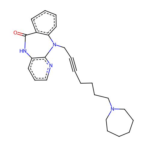 O=C1Nc2cccnc2N(CC#CCCCCN2CCCCCC2)c2ccccc21